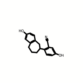 N#Cc1cc(O)ccc1C1CCCc2cc(O)ccc2C1